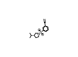 CC(C)[C@@H]1CCN(S(=O)(=O)c2cccc(C#N)c2)C1